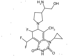 CC1=c2c(c(=O)[nH]c(=O)n2C2CC2)=C(C(F)F)C(F)C1N1CCC(C(N)CO)C1